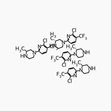 C[C@@H]1CN(c2ccc(C(F)(F)F)c(Cl)n2)CCN1.C[C@@H]1CNCCN1c1ccc(C(F)(F)F)c(Cl)n1.C[C@H]1CN(c2ccc(C(F)(F)F)c(Cl)n2)CCN1.C[C@H]1CNCCN1c1ccc(C(F)(F)F)c(Cl)n1